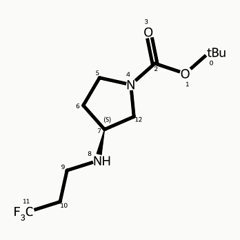 CC(C)(C)OC(=O)N1CC[C@H](NCCC(F)(F)F)C1